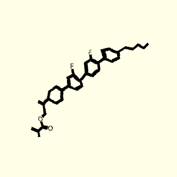 C=C(C)C(=O)OCC(C)C1CCC(c2ccc(-c3ccc(-c4ccc(CCCCC)cc4)c(F)c3)c(F)c2)CC1